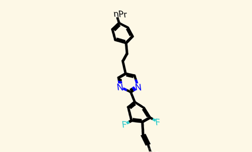 CCCc1ccc(CCc2cnc(-c3cc(F)c(C#CC(F)(F)F)c(F)c3)nc2)cc1